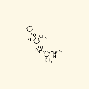 CCCNCc1cc(C)cc(-c2nnc(-c3cc(C)c(OCc4ccccc4)c(CC)c3)o2)c1